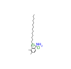 CCCCCCCCCCCCCCCCc1c(C(N)(Cl)Cl)ccc(C)c1C